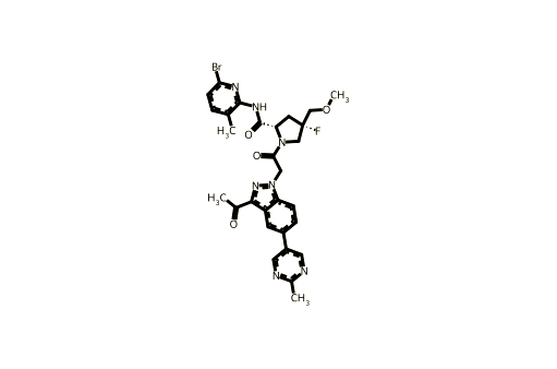 COC[C@]1(F)C[C@@H](C(=O)Nc2nc(Br)ccc2C)N(C(=O)Cn2nc(C(C)=O)c3cc(-c4cnc(C)nc4)ccc32)C1